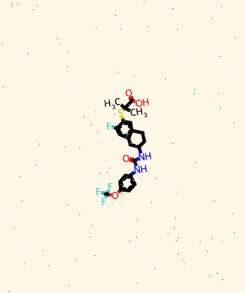 CC(C)(Sc1cc2c(cc1F)CC(NC(=O)Nc1ccc(OC(F)(F)F)cc1)CC2)C(=O)O